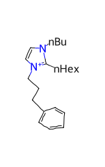 CCCCCCc1n(CCCC)cc[n+]1CCCc1ccccc1